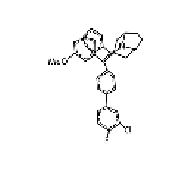 COc1cccc(C(=C2CC3CCC(C2)N3Cc2ccccc2)c2ccc(-c3ccc(F)c(Cl)c3)cc2)c1